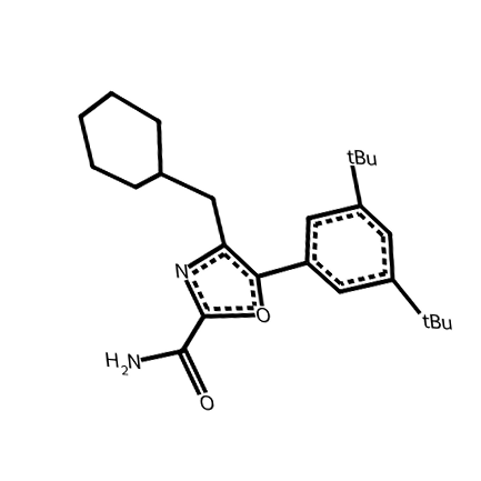 CC(C)(C)c1cc(-c2oc(C(N)=O)nc2CC2CCCCC2)cc(C(C)(C)C)c1